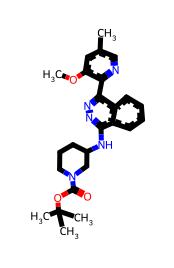 COc1cc(C)cnc1-c1nnc(NC2CCCN(C(=O)OC(C)(C)C)C2)c2ccccc12